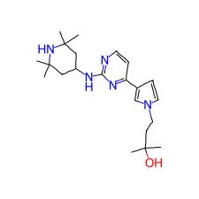 CC(C)(O)CCn1ccc(-c2ccnc(NC3CC(C)(C)NC(C)(C)C3)n2)c1